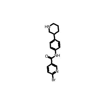 O=C(Nc1ccc(C2CCCNC2)cc1)c1ccc(Br)nc1